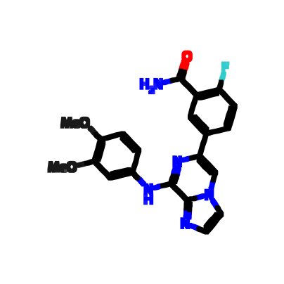 COc1ccc(Nc2nc(-c3ccc(F)c(C(N)=O)c3)cn3ccnc23)cc1OC